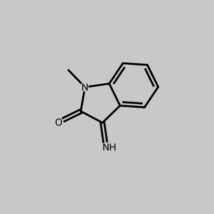 CN1C(=O)C(=N)c2ccccc21